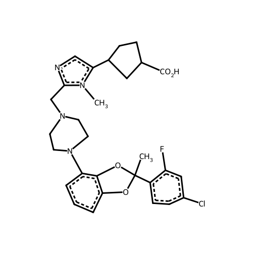 Cn1c(C2CCC(C(=O)O)C2)cnc1CN1CCN(c2cccc3c2OC(C)(c2ccc(Cl)cc2F)O3)CC1